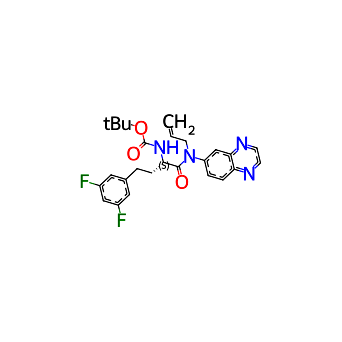 C=CCN(C(=O)[C@H](CCc1cc(F)cc(F)c1)NC(=O)OC(C)(C)C)c1ccc2nccnc2c1